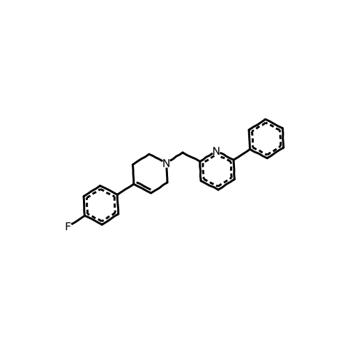 Fc1ccc(C2=CCN(Cc3cccc(-c4ccccc4)n3)CC2)cc1